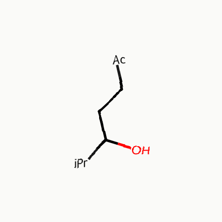 CC(=O)CCC(O)C(C)C